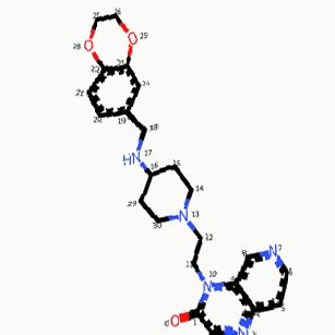 O=c1cnc2ccncc2n1CCN1CCC(NCc2ccc3c(c2)OCCO3)CC1